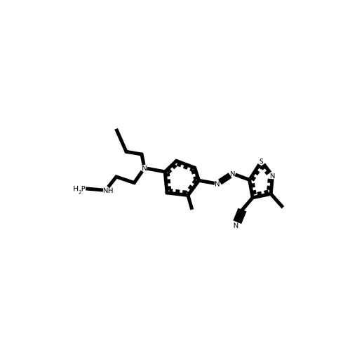 CCCN(CCNP)c1ccc(/N=N/c2snc(C)c2C#N)c(C)c1